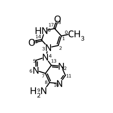 Cc1cn(-n2cnc3c(N)ncnc32)c(=O)[nH]c1=O